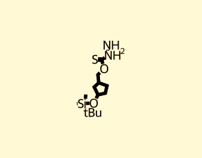 CC(C)(C)[Si](C)(C)OC1CCC(COC(=S)NN)C1